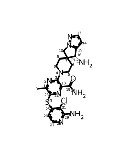 Cc1nc(N2CCC3(CC2)Cn2nccc2[C@@H]3N)c(C(N)=O)nc1Sc1ccnc(N)c1Cl